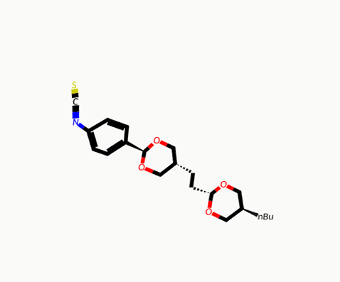 CCCC[C@H]1CO[C@H](CC[C@H]2CO[C@H](c3ccc(N=C=S)cc3)OC2)OC1